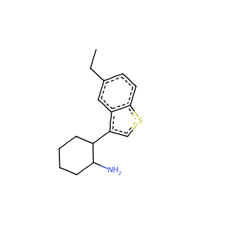 CCc1ccc2scc(C3CCCCC3N)c2c1